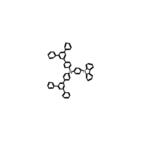 c1ccc(-c2cc(-c3ccccc3)cc(-c3ccc(N(c4ccc(-c5cc(-c6ccccc6)cc(-c6ccccc6)c5)cc4)c4ccc(-n5c6ccccc6c6ccccc65)cc4)cc3)c2)cc1